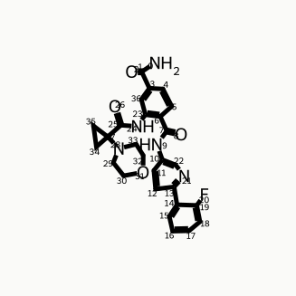 NC(=O)c1ccc(C(=O)Nc2ccc(-c3ccccc3F)nc2)c(NC(=O)C2(N3CCOCC3)CC2)c1